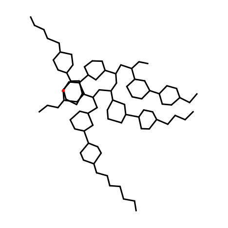 CCCCCCCC1CCC(C2CCCC(CC(CC(CC(CC(CC)C3CCCC(C4CCC(CC)CC4)C3)C3CCCC(C4CCC(CCC)CC4)C3)C3CCCC(C4CCC(CCCC)CC4)C3)C3CCCC(C4CCC(CCCCC)CC4)C3)C2)CC1